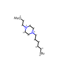 COCCN1CCN(CCCCCC(C)(C)C)CC1